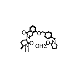 C=C1CCC(N2Cc3c(OCc4ccc(CN5CCC[C@@H]5OC=O)cc4)cccc3C2=O)C(=O)N1